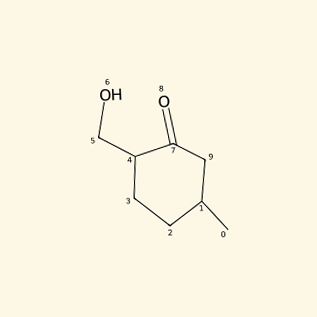 CC1CCC(CO)C(=O)C1